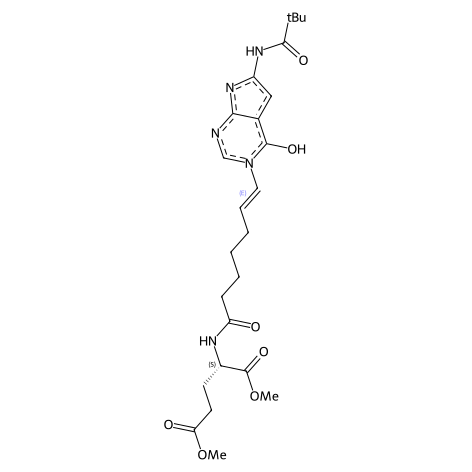 COC(=O)CC[C@H](NC(=O)CCCC/C=C/n1cnc2nc(NC(=O)C(C)(C)C)cc-2c1O)C(=O)OC